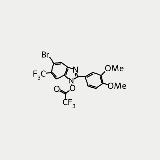 COc1ccc(-c2nc3cc(Br)c(C(F)(F)F)cc3n2OC(=O)C(F)(F)F)cc1OC